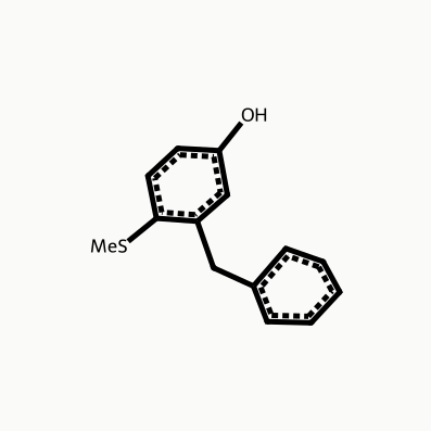 CSc1ccc(O)cc1Cc1ccccc1